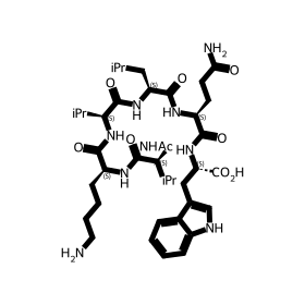 CC(=O)N[C@H](C(=O)N[C@@H](CCCCN)C(=O)N[C@H](C(=O)N[C@@H](CC(C)C)C(=O)N[C@@H](CCC(N)=O)C(=O)N[C@@H](Cc1c[nH]c2ccccc12)C(=O)O)C(C)C)C(C)C